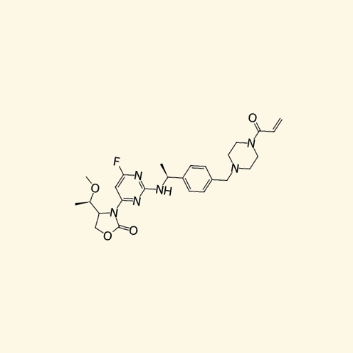 C=CC(=O)N1CCN(Cc2ccc([C@H](C)Nc3nc(F)cc(N4C(=O)OCC4[C@@H](C)OC)n3)cc2)CC1